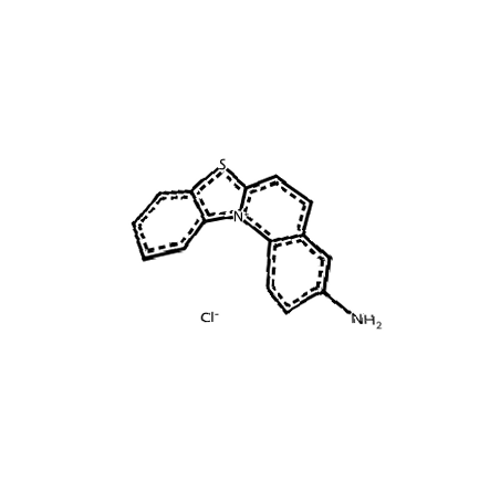 Nc1ccc2c(ccc3sc4ccccc4[n+]32)c1.[Cl-]